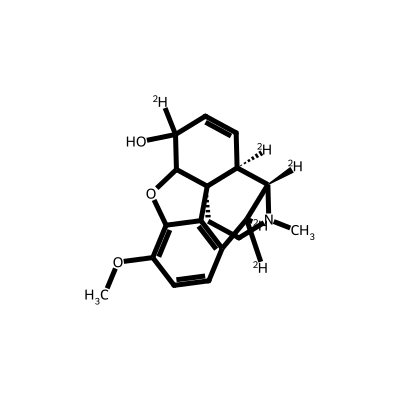 [2H]C1(O)C=C[C@]2([2H])[C@@]34CCN(C)[C@]2([2H])C([2H])([2H])c2ccc(OC)c(c23)OC14